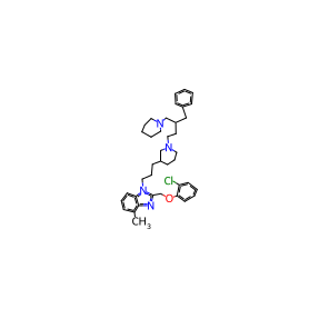 Cc1cccc2c1nc(COc1ccccc1Cl)n2CCCC1CCCN(CCC(Cc2ccccc2)CN2CCCCC2)C1